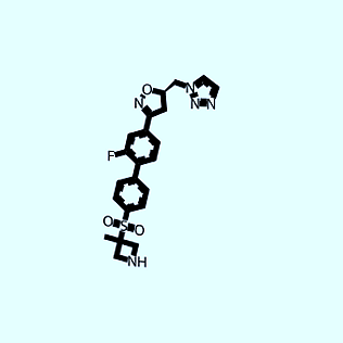 CC1(S(=O)(=O)c2ccc(-c3ccc(C4=NO[C@@H](Cn5ccnn5)C4)cc3F)cc2)CNC1